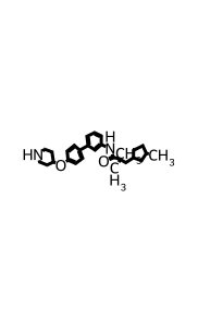 CC1CCC(CC(C)(C)C(=O)Nc2cccc(-c3ccc(OC4CCNCC4)cc3)c2)C1